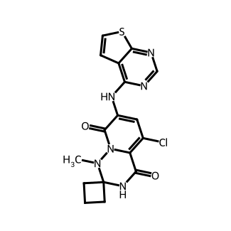 CN1n2c(c(Cl)cc(Nc3ncnc4sccc34)c2=O)C(=O)NC12CCC2